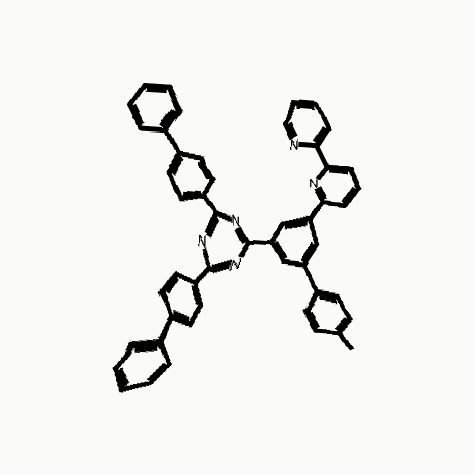 Cc1ccc(-c2cc(-c3cccc(-c4ccccn4)n3)cc(-c3nc(-c4ccc(-c5ccccc5)cc4)nc(-c4ccc(-c5ccccc5)cc4)n3)c2)cc1